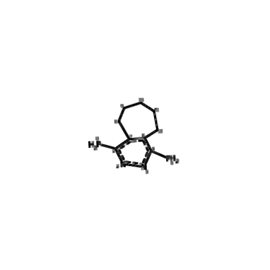 Pc1nnc(P)c2c1CCCCC2